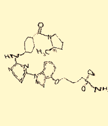 C[C@@H]1CCCN1C(=O)[C@H]1CC[C@H](Nc2nccc(-n3ncc4c(OCCCS(N)(=O)=O)cccc43)n2)CC1